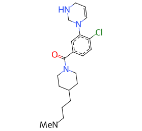 CNCCCC1CCN(C(=O)c2ccc(Cl)c(N3C=CCNC3)c2)CC1